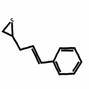 C(=Cc1ccccc1)CC1CS1